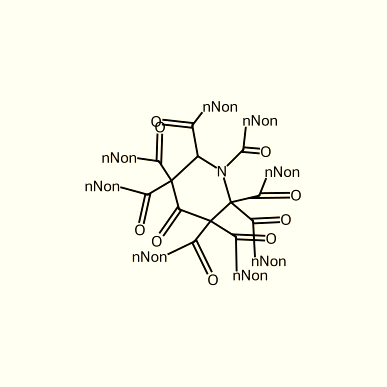 CCCCCCCCCC(=O)C1N(C(=O)CCCCCCCCC)C(C(=O)CCCCCCCCC)(C(=O)CCCCCCCCC)C(C(=O)CCCCCCCCC)(C(=O)CCCCCCCCC)C(=O)C1(C(=O)CCCCCCCCC)C(=O)CCCCCCCCC